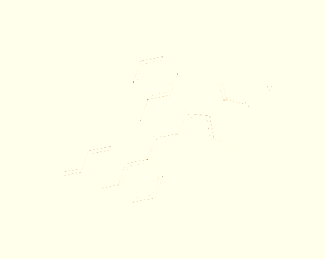 C=C/C=C\c1c(C)cccc1N(Cc1ccccc1)c1nc(C(=O)NSC)c(C)s1